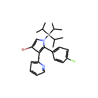 CC(C)[Si](C(C)C)(C(C)C)n1cc(Br)c(-c2ccccn2)c1-c1ccc(F)cc1